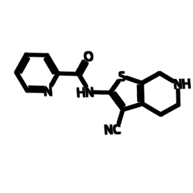 N#Cc1c(NC(=O)c2ccccn2)sc2c1CCNC2